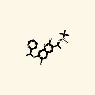 CC(=N[S@+]([O-])C(C)(C)C)c1cc2cc(Cl)c(OC(C)c3ccccn3)cc2nc1Cl